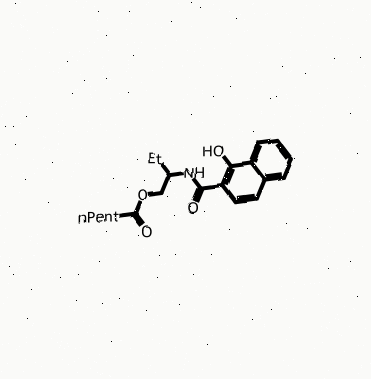 CCCCCC(=O)OCC(CC)NC(=O)c1ccc2ccccc2c1O